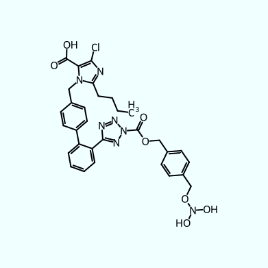 CCCCc1nc(Cl)c(C(=O)O)n1Cc1ccc(-c2ccccc2-c2nnn(C(=O)OCc3ccc(CON(O)O)cc3)n2)cc1